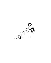 Cl.O=C(NS(=O)(=O)c1ccc(C(F)(F)F)cc1)N1C[C@@H](c2ccccc2)C(c2ccc(Cl)cc2)=N1